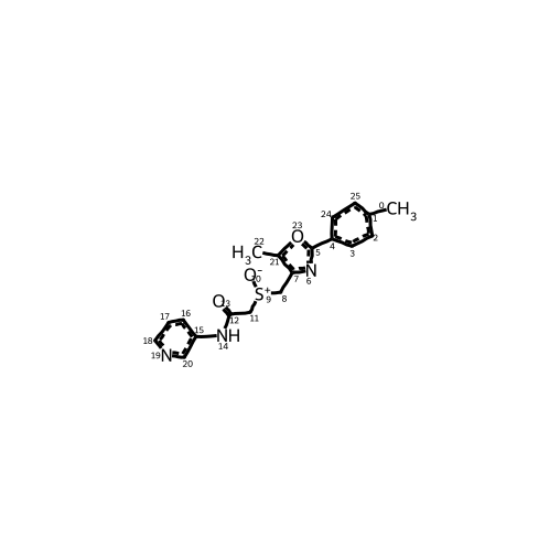 Cc1ccc(-c2nc(C[S+]([O-])CC(=O)Nc3cccnc3)c(C)o2)cc1